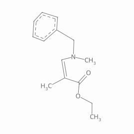 CCOC(=O)C(C)=CN(C)Cc1ccccc1